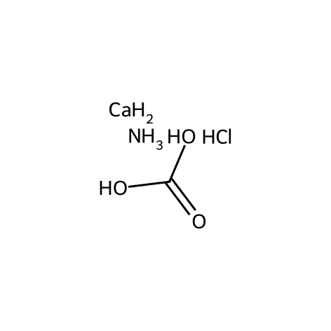 Cl.N.O=C(O)O.[CaH2]